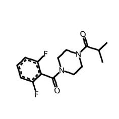 CC(C)C(=O)N1CCN(C(=O)c2c(F)cccc2F)CC1